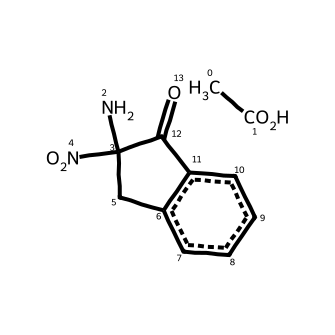 CC(=O)O.NC1([N+](=O)[O-])Cc2ccccc2C1=O